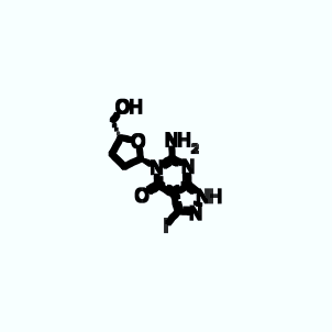 Nc1nc2[nH]nc(I)c2c(=O)n1[C@H]1CC[C@H](CO)O1